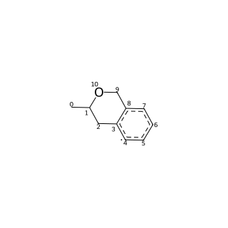 CC1Cc2[c]cccc2CO1